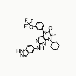 C[C@@H]1C(=O)N(c2cccc(OC(F)(F)F)c2)c2cnc(Nc3ccc4[nH]ncc4c3)nc2N1C1CCCCC1